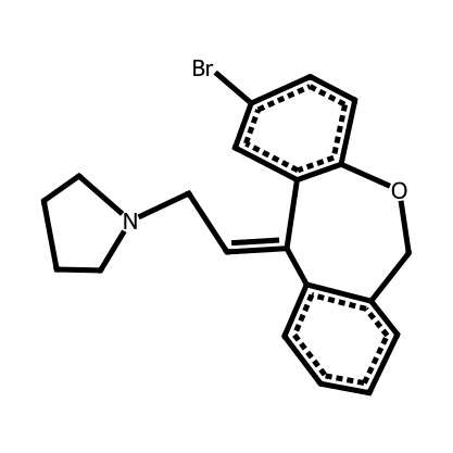 Brc1ccc2c(c1)C(=CCN1CCCC1)c1ccccc1CO2